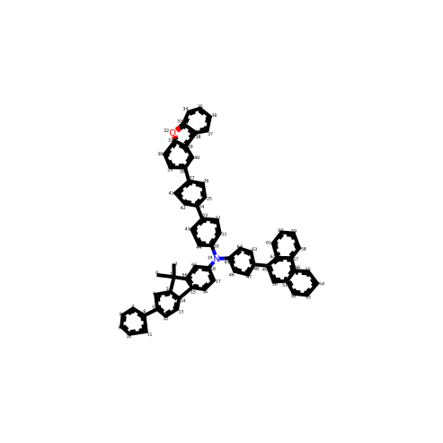 CC1(C)c2cc(-c3ccccc3)ccc2-c2ccc(N(c3ccc(-c4ccc(-c5ccc6oc7ccccc7c6c5)cc4)cc3)c3ccc(-c4cc5ccccc5c5ccccc45)cc3)cc21